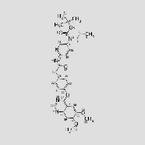 CCCN(C(=O)OC(C)(C)C)c1ccc(NC(=O)Cc2ccc(Oc3ncnc4cc(OC)c(OC)cc34)cc2)nc1